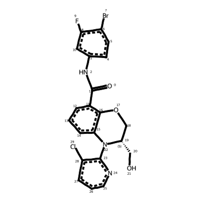 O=C(Nc1ccc(Br)c(F)c1)c1cccc2c1OC[C@H](CO)N2c1ncccc1Cl